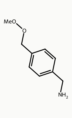 COOCc1ccc(CN)cc1